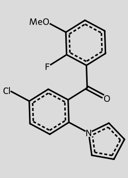 COc1cccc(C(=O)c2cc(Cl)ccc2-n2cccc2)c1F